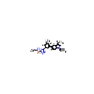 CC(=O)CSc1nnc(-c2cc(-c3ccc4c(c3)c(C)cn4C)cc([N+](=O)[O-])c2)[nH]1